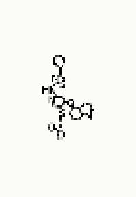 COC(=O)CCSc1cnc(Nc2nc(-c3ccccc3)cs2)cc1Oc1cccc2ncccc12